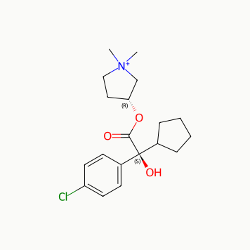 C[N+]1(C)CC[C@@H](OC(=O)[C@@](O)(c2ccc(Cl)cc2)C2CCCC2)C1